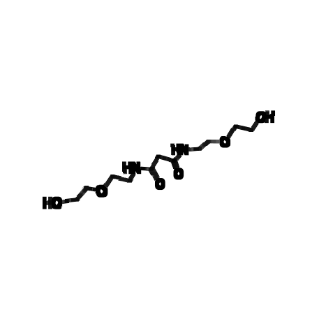 O=C(CC(=O)NCCOCCO)NCCOCCO